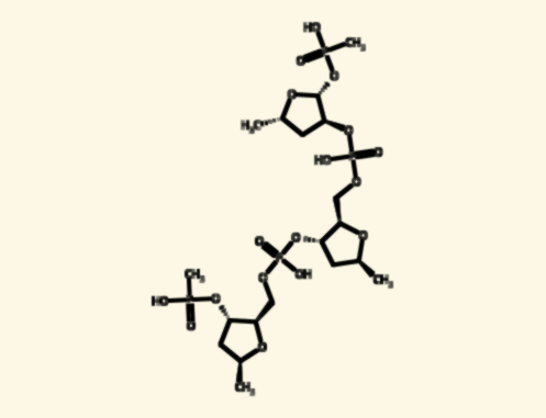 C[C@H]1C[C@H](OP(=O)(O)OC[C@H]2O[C@@H](C)C[C@@H]2OP(=O)(O)OC[C@H]2O[C@@H](C)C[C@@H]2OP(C)(=O)O)[C@@H](OP(C)(=O)O)O1